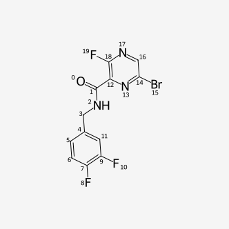 O=C(NCc1ccc(F)c(F)c1)c1nc(Br)cnc1F